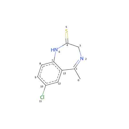 CC1=NCC(=S)Nc2ccc(Cl)cc21